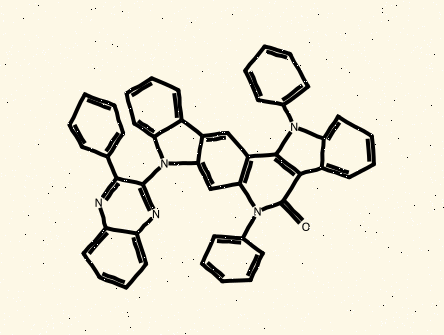 O=c1c2c3ccccc3n(-c3ccccc3)c2c2cc3c4ccccc4n(-c4nc5ccccc5nc4-c4ccccc4)c3cc2n1-c1ccccc1